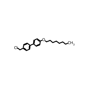 CCCCCCCCOc1ccc(-c2ccc(CCl)cc2)cc1